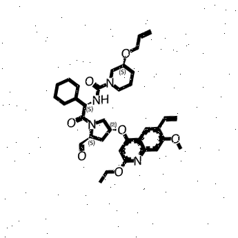 C=CCO[C@H]1CCCN(C(=O)N[C@H](C(=O)N2C[C@H](Oc3cc(OCC)nc4cc(OC)c(C=C)cc34)C[C@H]2C=O)C2CCCCC2)C1